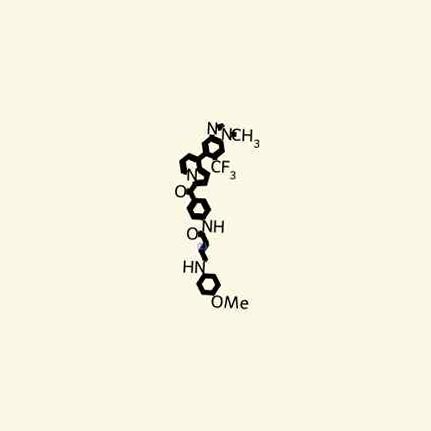 CO[C@H]1CC[C@H](NC/C=C/C(=O)Nc2ccc(C(=O)c3ccc4c(-c5cc6ncn(C)c6cc5C(F)(F)F)cccn34)cc2)CC1